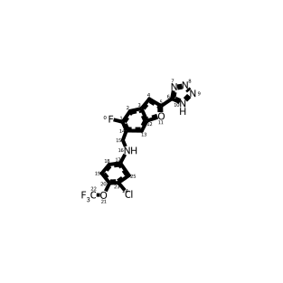 Fc1cc2cc(-c3nnn[nH]3)oc2cc1CNc1ccc(OC(F)(F)F)c(Cl)c1